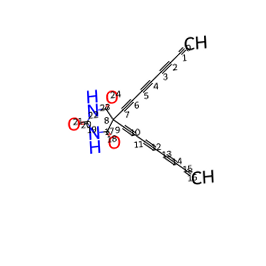 C#CC#CC#CC#CC1(C#CC#CC#CC#C)C(=O)NC(=O)NC1=O